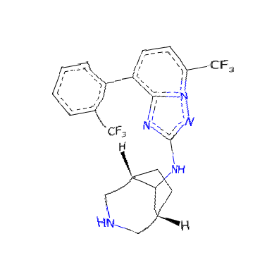 FC(F)(F)c1ccccc1-c1ccc(C(F)(F)F)n2nc(NC3[C@@H]4CC[C@H]3CNC4)nc12